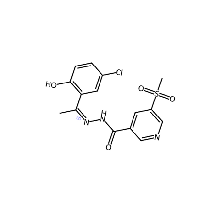 C/C(=N/NC(=O)c1cncc(S(C)(=O)=O)c1)c1cc(Cl)ccc1O